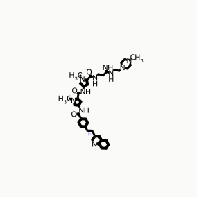 CN1CCN(CCNC(=N)CCNC(=O)c2cc(NC(=O)c3cc(NC(=O)c4ccc(/C=C/c5cnc6ccccc6c5)cc4)cn3C)cn2C)CC1